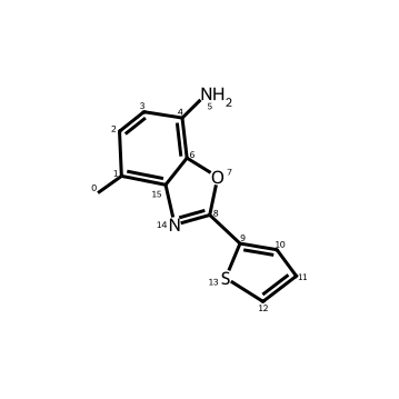 Cc1ccc(N)c2oc(-c3cccs3)nc12